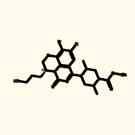 CC1CN(c2nc(=O)n3c4c(c(Br)c(Cl)cc24)OC[C@H]3CCCO)C(C)CN1C(=O)OC(C)(C)C